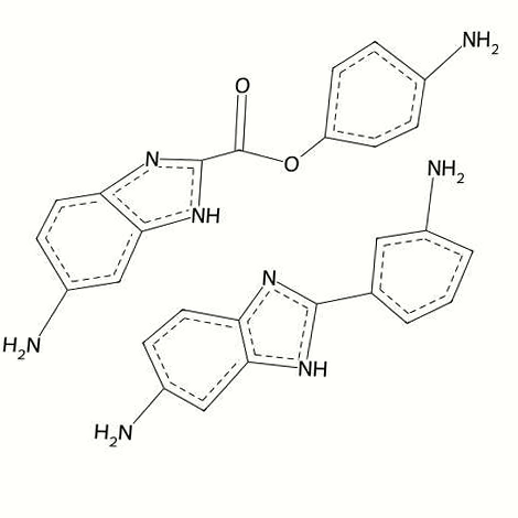 Nc1ccc(OC(=O)c2nc3ccc(N)cc3[nH]2)cc1.Nc1cccc(-c2nc3ccc(N)cc3[nH]2)c1